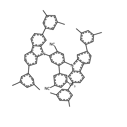 Cc1cc(C)cc(-c2ccc3c4ccc(-c5cc(C)cc(C)c5)cc4n(-c4cc(-c5cc(C#N)cc(C(F)(F)F)c5)c(-n5c6cc(-c7cc(C)cc(C)c7)ccc6c6ccc(-c7cc(C)cc(C)c7)cc65)cc4C#N)c3c2)c1